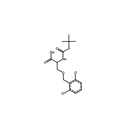 CC(C)(C)OC(=O)NC(COCc1c(Cl)cccc1Cl)C(=O)O